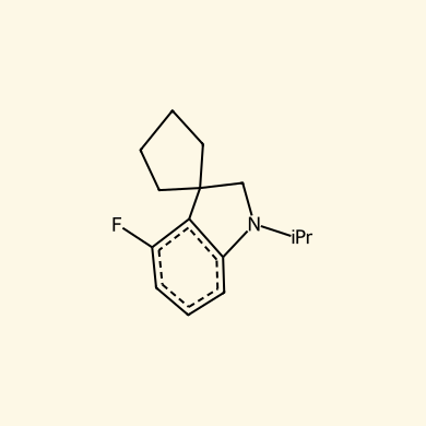 CC(C)N1CC2(CCCC2)c2c(F)cccc21